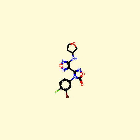 O=c1onc(-c2nonc2NC2CCOC2)n1-c1ccc(F)c(Br)c1